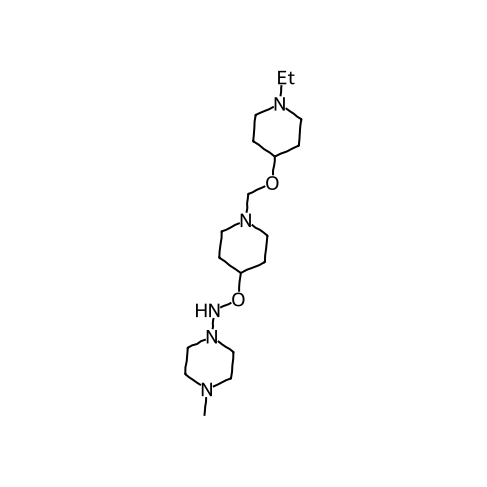 CCN1CCC(OCN2CCC(ONN3CCN(C)CC3)CC2)CC1